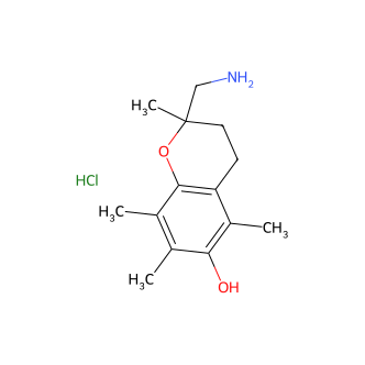 Cc1c(C)c2c(c(C)c1O)CCC(C)(CN)O2.Cl